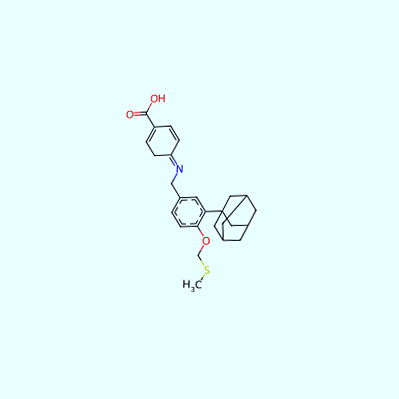 CSCOc1ccc(CN=C2C=CC(C(=O)O)=CC2)cc1C12CC3CC(CC(C3)C1)C2